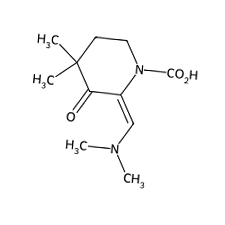 CN(C)C=C1C(=O)C(C)(C)CCN1C(=O)O